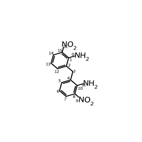 Nc1c(Cc2cccc([N+](=O)[O-])c2N)cccc1[N+](=O)[O-]